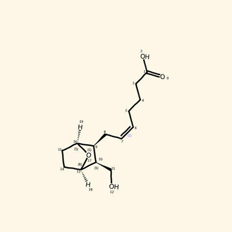 O=C(O)CCC/C=C\C[C@H]1[C@@H](CO)[C@H]2CC[C@@H]1O2